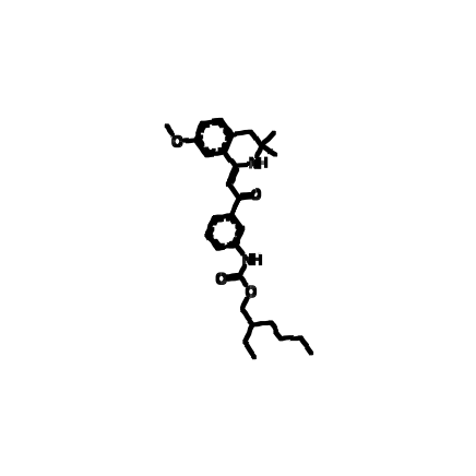 CCCCC(CC)COC(=O)Nc1cccc(C(=O)C=C2NC(C)(C)Cc3ccc(OC)cc32)c1